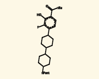 CCCCCC1CCC(C2CCC(c3ccc(C(=O)CCCC)c(O)c3F)CC2)CC1